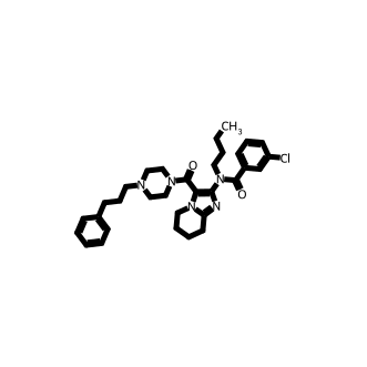 CCCCN(C(=O)c1cccc(Cl)c1)c1nc2n(c1C(=O)N1CCN(CCCc3ccccc3)CC1)CCCC2